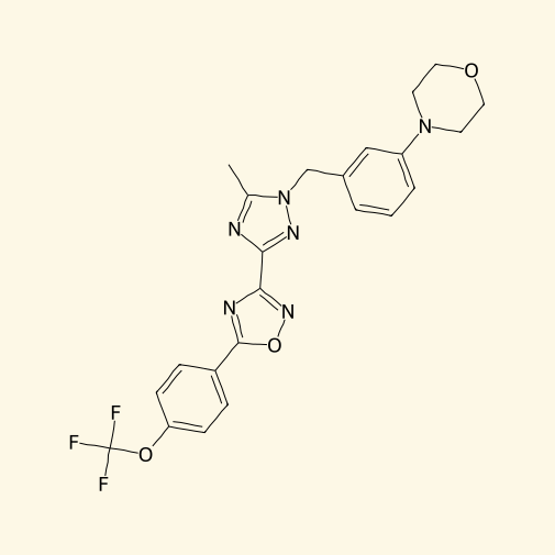 Cc1nc(-c2noc(-c3ccc(OC(F)(F)F)cc3)n2)nn1Cc1cccc(N2CCOCC2)c1